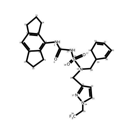 O=C(Nc1c2c(cc3c1CCC3)CCC2)NS(=O)(=O)N(Cc1ccn(CC(F)(F)F)n1)CC1C=CC=CC1